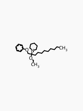 CCCCCCCCCC(COc1ccccc1)(OCC)N1CCCCC1